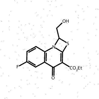 CCOC(=O)c1c2n(c3ccc(F)cc3c1=O)C(CO)S2